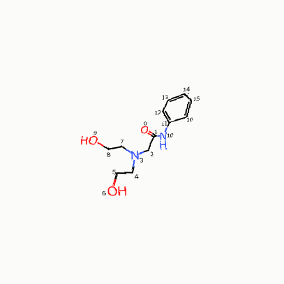 O=C(CN(CCO)CCO)Nc1cc[c]cc1